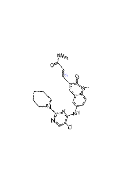 CNC(=O)/C=C/c1cc2cc(Nc3nc(N4CCCCC4)ncc3Cl)ccc2n(C)c1=O